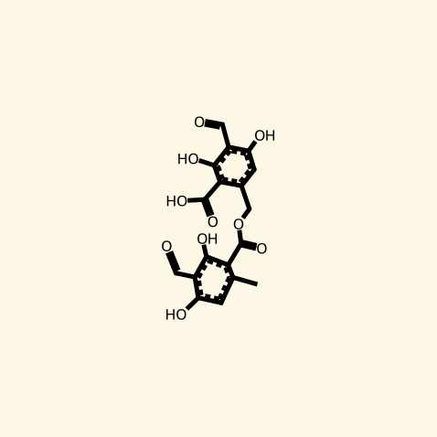 Cc1cc(O)c(C=O)c(O)c1C(=O)OCc1cc(O)c(C=O)c(O)c1C(=O)O